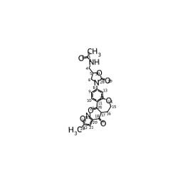 CC(=O)NCC1CN(c2ccc3c(c2)OCCC(C(=O)c2cc(C)on2)C3=O)C(=O)O1